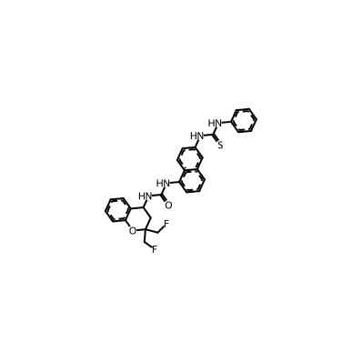 O=C(Nc1cccc2cc(NC(=S)Nc3ccccc3)ccc12)NC1CC(CF)(CF)Oc2ccccc21